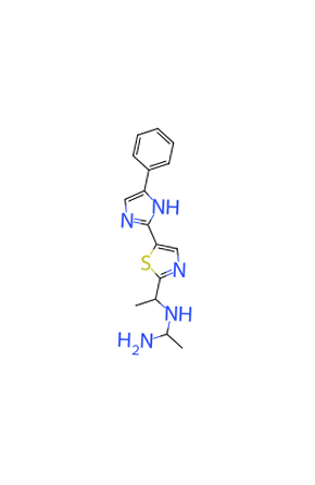 CC(N)NC(C)c1ncc(-c2ncc(-c3ccccc3)[nH]2)s1